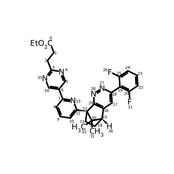 CCOC(=O)CCc1ncc(-c2cccc([C@@]34CC[C@@H](c5cc(-c6c(F)cccc6F)nnc53)C4(C)C)n2)cn1